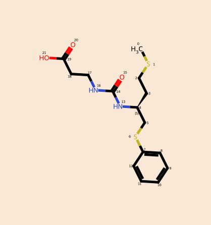 CSCC[C@@H](CSc1ccccc1)NC(=O)NCCC(=O)O